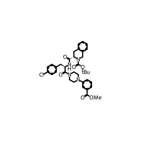 COC(=O)c1cccc(N2CCN(C(=O)[C@@H](Cc3ccc(Cl)cc3)NC(=O)[C@@H]3Cc4ccccc4CN3C(=O)OC(C)(C)C)CC2)c1